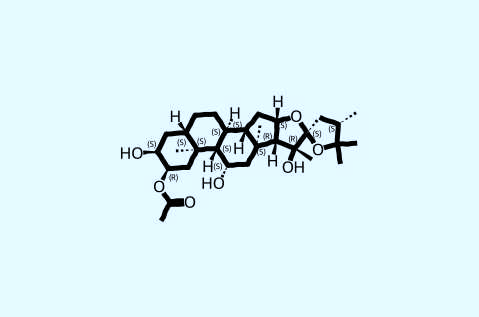 CC(=O)O[C@@H]1C[C@@]2(C)[C@@H](CC[C@@H]3[C@@H]2[C@@H](O)C[C@@]2(C)[C@H]3C[C@@H]3O[C@]4(C[C@H](C)C(C)(C)O4)[C@](C)(O)[C@@H]32)C[C@@H]1O